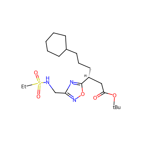 CCS(=O)(=O)NCc1noc([C@H](CCCC2CCCCC2)CC(=O)OC(C)(C)C)n1